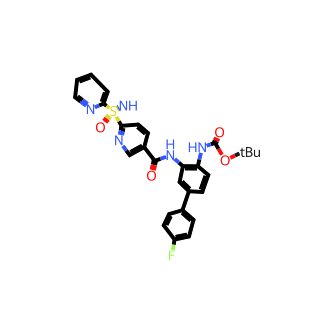 CC(C)(C)OC(=O)Nc1ccc(-c2ccc(F)cc2)cc1NC(=O)c1ccc(S(=N)(=O)c2ccccn2)nc1